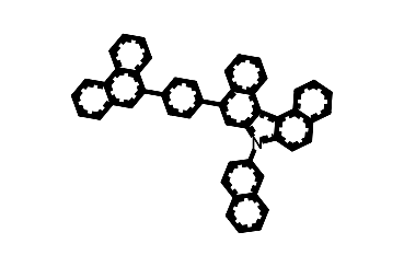 c1ccc2cc(-n3c4ccc5ccccc5c4c4c5ccccc5c(-c5ccc(-c6cc7ccccc7c7ccccc67)cc5)cc43)ccc2c1